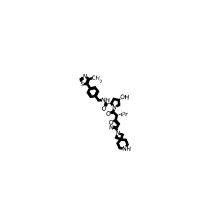 Cc1ncsc1-c1ccc(CNC(=O)[C@@H]2C[C@@H](O)CN2C(=O)[C@@H](c2cc(N3CC4(CCNCC4)C3)no2)C(C)C)cc1